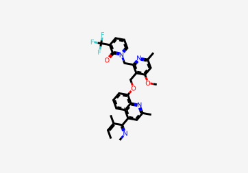 C/C=C(C)\C(=N/C)c1cc(C)nc2c(OCc3c(OC)cc(C)nc3Cn3cccc(C(F)(F)F)c3=O)cccc12